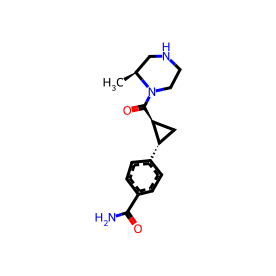 C[C@H]1CNCCN1C(=O)[C@H]1C[C@@H]1c1ccc(C(N)=O)cc1